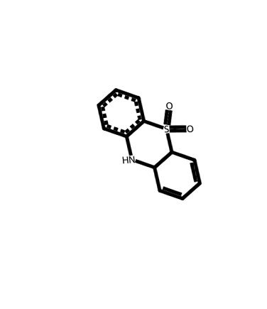 O=S1(=O)c2ccccc2NC2C=CC=CC21